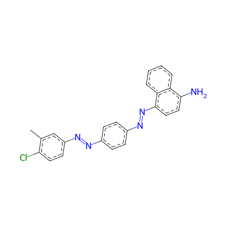 Cc1cc(N=Nc2ccc(N=Nc3ccc(N)c4ccccc34)cc2)ccc1Cl